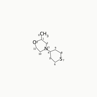 CC1CN(C2CCSCC2)CCO1